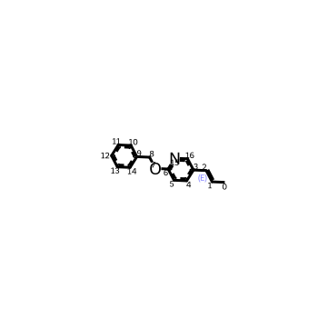 C/C=C/c1ccc(OCc2ccccc2)nc1